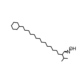 CC(C)C(C=NO)CCCCCCCCCCCCCCC1CCCCC1